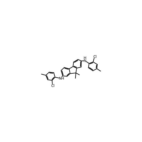 Cc1ccc(Nc2ccc3c(c2)C(C)(C)c2cc(Nc4ccc(C)cc4Cl)ccc2-3)c(Cl)c1